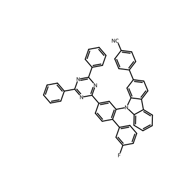 N#Cc1ccc(-c2ccc3c4ccccc4n(-c4cc(-c5nc(-c6ccccc6)nc(-c6ccccc6)n5)ccc4-c4cccc(F)c4)c3c2)cc1